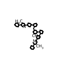 Cc1cc(Cc2ccccc2-c2ccc(-c3cc(C)c(-c4ccccc4)cn3)cc2)cc(-c2ccccc2-c2ccc(-c3cc(C)c(-c4ccccc4)cn3)cc2)c1